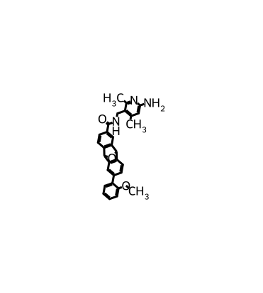 COc1ccccc1-c1ccc2c(c1)C1OC2c2cc(C(=O)NCc3c(C)cc(N)nc3C)ccc21